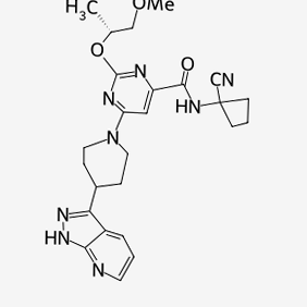 COC[C@@H](C)Oc1nc(C(=O)NC2(C#N)CCC2)cc(N2CCC(c3n[nH]c4ncccc34)CC2)n1